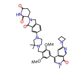 COc1cc(-c2cn(C)c(=O)c3cnc(N4CCC4)cc23)cc(OC)c1CN1CCN(c2ccc3c(c2)C(=O)N(C2CCC(=O)NC2=O)C3)CC1(C)C